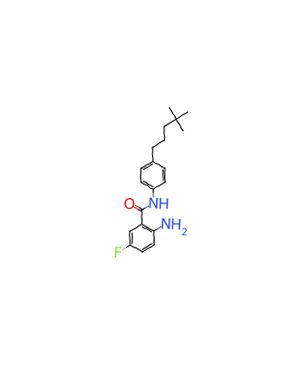 CC(C)(C)CCCc1ccc(NC(=O)c2cc(F)ccc2N)cc1